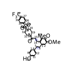 COc1cc(/C=C/c2ccc(O)cc2)c(/C=C/C(=O)N2CCN(S(=O)(=O)c3ccc(C(F)(F)F)cc3)CC2)c(OC)c1